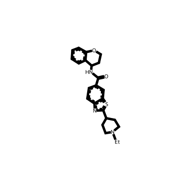 CCN1CCC(c2nc3ccc(C(=O)NC4CCOc5ccccc54)cc3s2)CC1